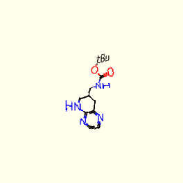 CC(C)(C)OC(=O)NCC1CNc2nccnc2C1